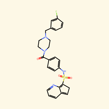 O=C(c1ccc(NS(=O)(=O)C2=c3ncccc3=CC2)cc1)N1CCN(Cc2cccc(F)c2)CC1